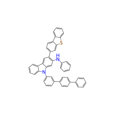 c1ccc(Nc2cc3c(cc2-c2ccc4c(c2)sc2ccccc24)c2ccccc2n3-c2cccc(-c3ccc(-c4ccccc4)cc3)c2)cc1